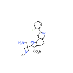 CC(=O)N1CC(CN)(c2[nH]c3c(c2C(=O)O)CCc2cnc(-c4ccccc4F)cc2-3)C1